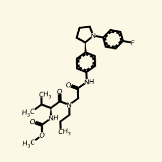 CCCN(CC(=O)Nc1ccc([C@H]2CCCN2c2ccc(F)cc2)cc1)C(=O)[C@@H](NC(=O)OC)C(C)C